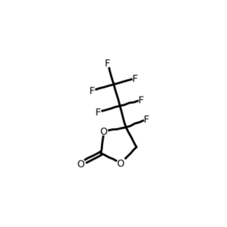 O=C1OCC(F)(C(F)(F)C(F)(F)F)O1